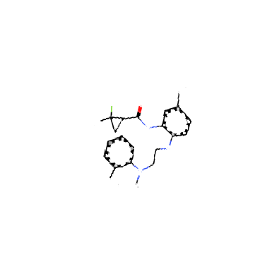 CCCN(CCNc1ccc(C=O)cc1NC(=O)C1CC1(C)F)c1ccccc1C